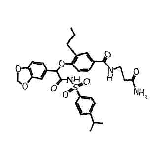 CCCc1cc(C(=O)NCCC(N)=O)ccc1OC(C(=O)NS(=O)(=O)c1ccc(C(C)C)cc1)c1ccc2c(c1)OCO2